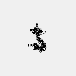 CCNC(=O)c1nnc(-c2cc(C(C)C)c(O)cc2O)n1-c1ccc(CN2CCC(C(=O)N(C)CCC(=O)OC3(CC)C(=O)OCc4c3cc3n(c4=O)Cc4c-3nc3ccc(O)cc3c4CC)CC2)cc1